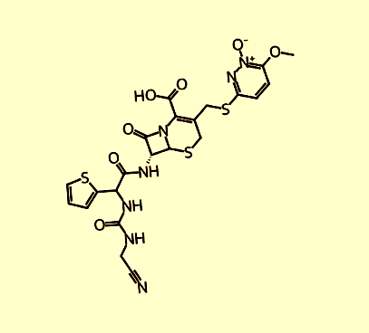 COc1ccc(SCC2=C(C(=O)O)N3C(=O)[C@@H](NC(=O)C(NC(=O)NCC#N)c4cccs4)C3SC2)n[n+]1[O-]